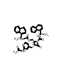 C[C@@H](NC(=O)OC[C@@H]1[C@@H](Cc2ccnc(NC(=O)C(F)(F)F)c2)C(=O)N1C(=O)N[C@H](C)c1cccc2ccccc12)c1cccc2ccccc12